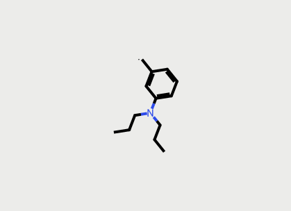 [CH2]c1cccc(N(CCC)CCC)c1